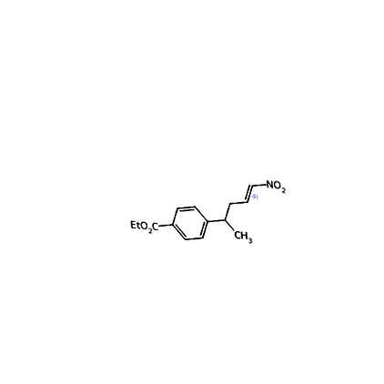 CCOC(=O)c1ccc(C(C)C/C=C/[N+](=O)[O-])cc1